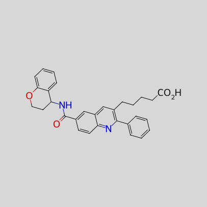 O=C(O)CCCCc1cc2cc(C(=O)NC3CCOc4ccccc43)ccc2nc1-c1ccccc1